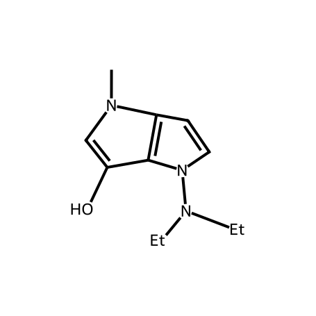 CCN(CC)n1ccc2c1c(O)cn2C